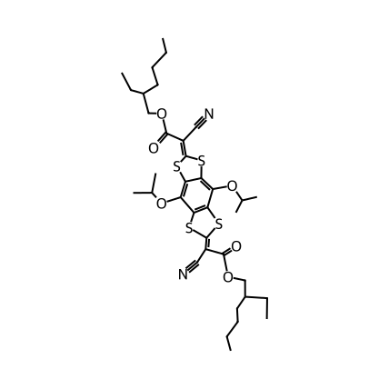 CCCCC(CC)COC(=O)C(C#N)=C1Sc2c(OC(C)C)c3c(c(OC(C)C)c2S1)SC(=C(C#N)C(=O)OCC(CC)CCCC)S3